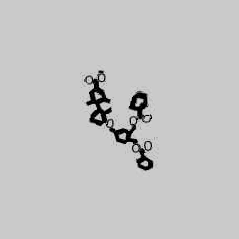 COC(=O)c1cc(C)c(-c2cccc(OCc3ccc(COC(=O)c4ccccc4)c(COC(=O)c4ccccc4)c3)c2C)c(C)c1